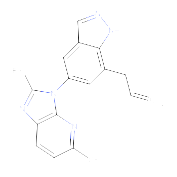 C=CCc1cc(-n2c(C(F)(F)F)nc3ccc(C(F)(F)F)nc32)cc2cn[nH]c12